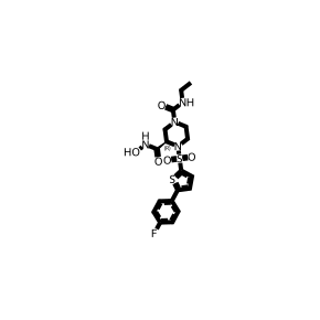 CCNC(=O)N1CCN(S(=O)(=O)c2ccc(-c3ccc(F)cc3)s2)[C@@H](C(=O)NO)C1